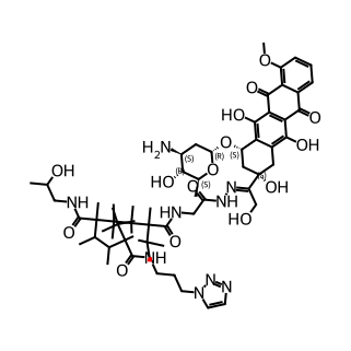 COc1cccc2c1C(=O)c1c(O)c3c(c(O)c1C2=O)C[C@@](O)(C(CO)=NNC(=O)CNC(=O)C(C)(C(C)(C)C)C(C)(C)C(C)(C)C(C)(C(=O)NCC(C)O)C(C)C(C)C(C)(C(=O)NCCCn1ccnn1)C(C)(C)C)C[C@@H]3O[C@H]1C[C@H](N)[C@@H](O)[C@H](C)O1